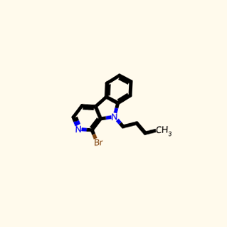 CCCCn1c2ccccc2c2ccnc(Br)c21